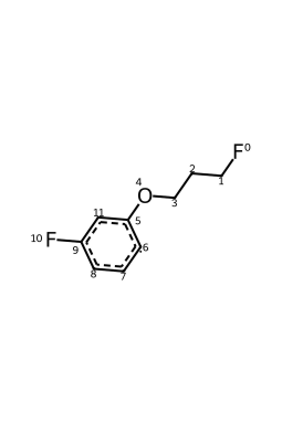 FCCCOc1[c]ccc(F)c1